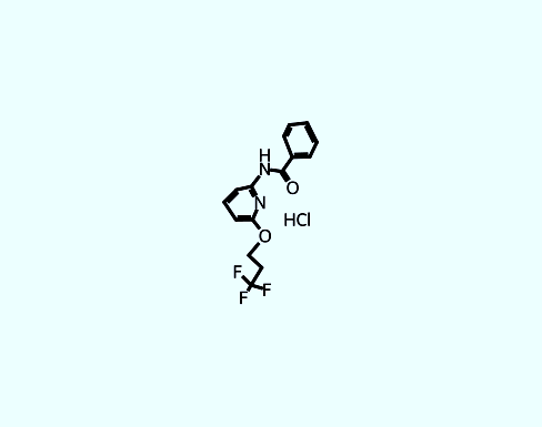 Cl.O=C(Nc1cccc(OCCC(F)(F)F)n1)c1ccccc1